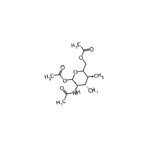 CC(=O)NC1C(OC(C)=O)OC(COC(C)=O)[C@@H](C)[C@@H]1C